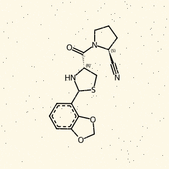 N#C[C@@H]1CCCN1C(=O)[C@@H]1CSC(c2cccc3c2OCO3)N1